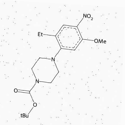 CCc1cc([N+](=O)[O-])c(OC)cc1N1CCN(C(=O)OC(C)(C)C)CC1